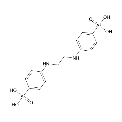 O=[As](O)(O)c1ccc(NCCNc2ccc([As](=O)(O)O)cc2)cc1